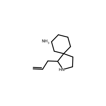 C=CCC1NCCC12CCCCC2.N